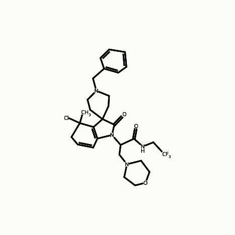 CC1(Cl)CC=CC2=C1C1(CCN(Cc3ccccc3)CC1)C(=O)N2C(CN1CCOCC1)C(=O)NCC(F)(F)F